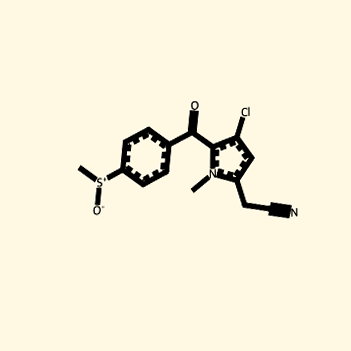 Cn1c(CC#N)cc(Cl)c1C(=O)c1ccc([S+](C)[O-])cc1